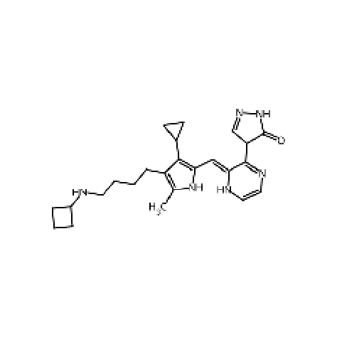 Cc1[nH]c(C=C2NC=CN=C2C2C=NNC2=O)c(C2CC2)c1CCCCNC1CCC1